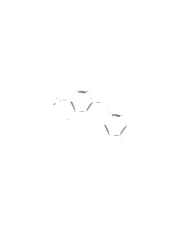 O=[N+]([O-])c1ccc(Oc2ccc(Cl)cc2Cl)cc1Cl